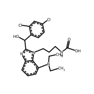 CCN(CC)c1cccc2nc(C(O)c3ccc(Cl)cc3Cl)n(CCCNC(=O)O)c12